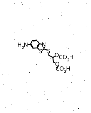 Nc1ccc2nc(SCC(COC(=O)O)OC(=O)O)sc2c1